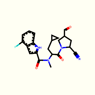 CN(C(=O)c1cc2c(F)cccc2[nH]1)C(CC1CC1)C(=O)N1CC(C=O)CC1C#N